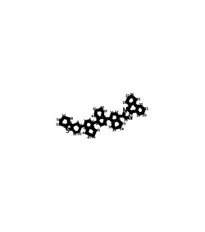 C1=C(c2ccc(-c3ccc(-c4ccc(-c5cnc6c7ccccc7c7ccccc7c6n5)c5ccccc45)c4ccccc34)c3ccccc23)CCc2sc3ccccc3c21